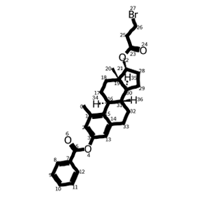 Cc1cc(OC(=O)c2ccccc2)cc2c1[C@H]1CC[C@]3(C)[C@@H](OC(=O)CCBr)CC[C@H]3[C@@H]1CC2